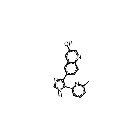 Cc1cccc(-c2[nH]cnc2-c2ccc3ncc(O)cc3c2)n1